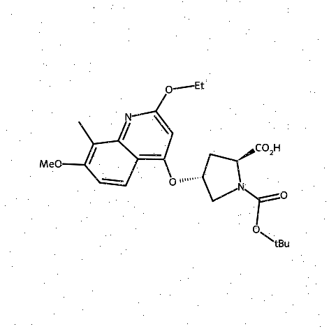 CCOc1cc(O[C@@H]2C[C@@H](C(=O)O)N(C(=O)OC(C)(C)C)C2)c2ccc(OC)c(C)c2n1